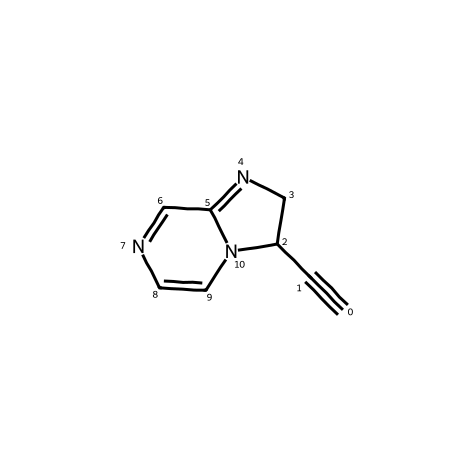 C#CC1CN=C2C=NC=CN21